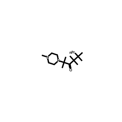 CCCC(C)(C)C(C)(C)C(=O)C(C)(C)N1CCN(C)CC1